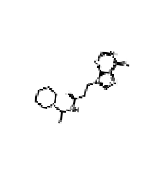 CC(NC(=O)CCn1cnc2c(=O)[nH]cnc21)N1CCCCC1